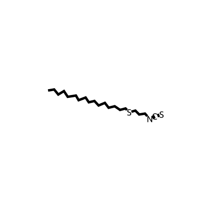 CCCCCCCCCCCCCCCCSCCCN=C=S